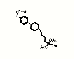 CCCCCOc1ccc([C@H]2CC[C@H](OCCC[Si](OC(C)=O)(OC(C)=O)OC(C)=O)CC2)cc1